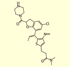 C=Nc1cc(CCC(=O)N(C)C)sc1/C(=C\C)c1cc(Cl)cc2c1OC(C(=O)N1CCNCC1)C2